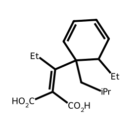 CCC(=C(C(=O)O)C(=O)O)C1(CC(C)C)C=CC=CC1CC